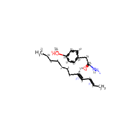 C/C=C/C=C/CCCCCCC.NC(=O)Cc1ccc(O)cc1